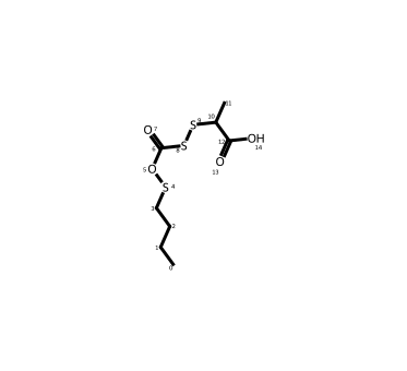 CCCCSOC(=O)SSC(C)C(=O)O